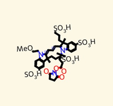 COCCN1/C(=C/C=C/C2=[N+](C(C)(C)CCC(=O)ON3C(=O)CCC3=O)c3ccc(S(=O)(=O)O)cc3C2(C)CCCS(=O)(=O)O)C(C)(CCCS(=O)(=O)O)c2cc(S(=O)(=O)O)ccc21